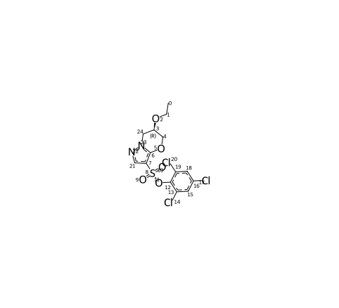 CCO[C@H]1COc2c(S(=O)(=O)Oc3c(Cl)cc(Cl)cc3Cl)cnn2C1